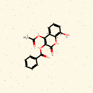 CC(=O)Oc1c(OC(=O)c2ccccc2)c(=O)oc2c(O)cccc12